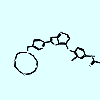 O=C(Nc1ccc(Oc2ccnc3cc(-c4ccc(CN5CCOCCOCCOCC5)cn4)sc23)c(F)c1)NC1CC1